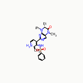 C=C/C(NS(=O)(=O)c1ccccc1)=C(\C=C/N)c1ncc2c(n1)N(C(C)C)[C@H](CC)C(=O)N2C